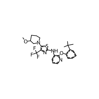 COC1CCCN(c2sc(Nc3cccnc3Oc3ccccc3C(C)(C)C)nc2C(F)(F)F)C1